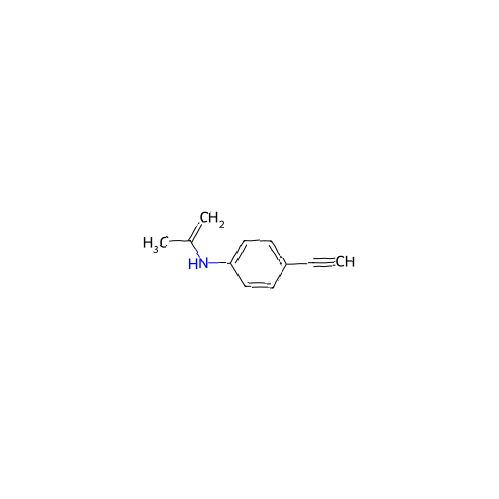 C#Cc1ccc(NC(=C)C)cc1